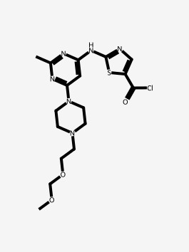 COCOCCN1CCN(c2cc(Nc3ncc(C(=O)Cl)s3)nc(C)n2)CC1